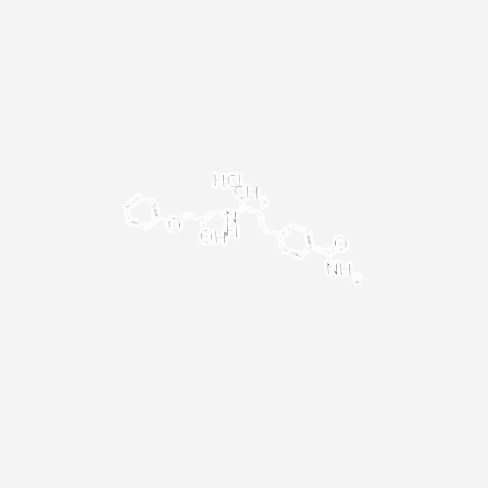 C[C@H](CCc1ccc(C(N)=O)cc1)NCC(O)COc1ccccc1.Cl